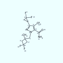 CC1(Cn2nc(C3CC3(F)F)c(C(F)(F)F)c2C(N)=O)CC(F)(F)C1